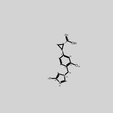 O=C(O)[C@H]1C[C@@H]1c1ccc(Cn2cnc(F)c2)c(Cl)c1